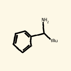 CC(C)(C)C(N)c1[c]cccc1